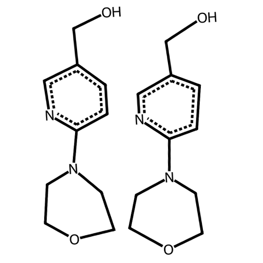 OCc1ccc(N2CCOCC2)nc1.OCc1ccc(N2CCOCC2)nc1